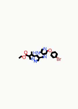 CCOC(=O)c1cn2ncc(C#N)c(Nc3ccc(Oc4ccc(Br)cc4)nc3)c2c1C